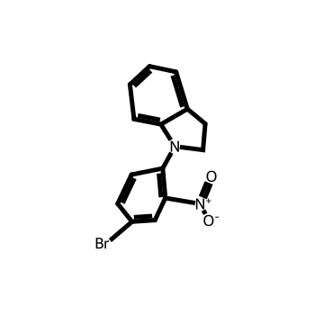 O=[N+]([O-])c1cc(Br)ccc1N1CCc2ccccc21